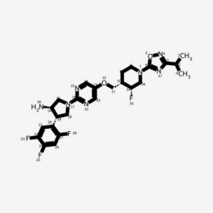 CC(C)c1noc(N2CC[C@@H](COc3cnc(N4C[C@H](c5cc(F)c(F)cc5F)[C@@H](N)C4)nc3)[C@@H](F)C2)n1